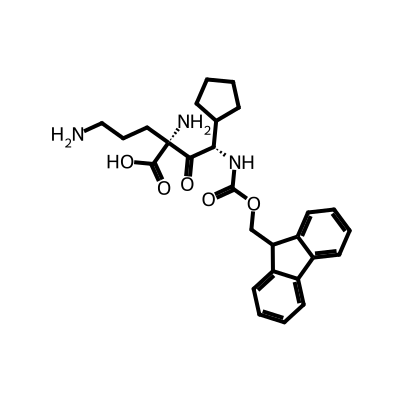 NCCC[C@](N)(C(=O)O)C(=O)[C@@H](NC(=O)OCC1c2ccccc2-c2ccccc21)C1CCCC1